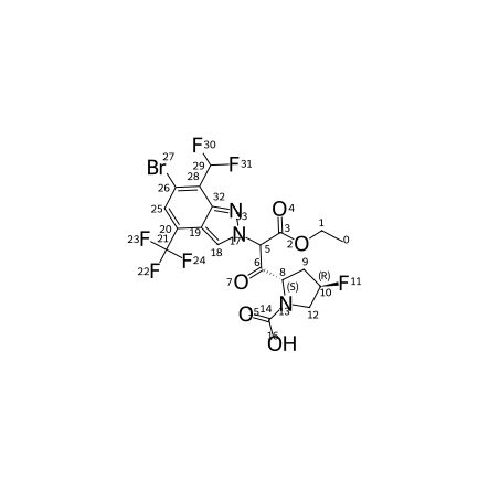 CCOC(=O)C(C(=O)[C@@H]1C[C@@H](F)CN1C(=O)O)n1cc2c(C(F)(F)F)cc(Br)c(C(F)F)c2n1